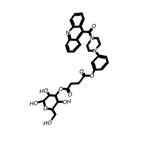 O=C(CCC(=O)OC1C(O)C(O)OC(CO)C1O)Oc1cccc(N2CCN(C(=O)c3c4ccccc4nc4ccccc34)CC2)c1